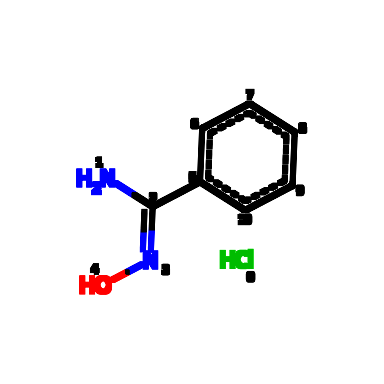 Cl.NC(=NO)c1ccccc1